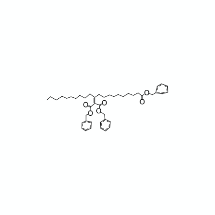 CCCCCCCCCCC(CCCCCCCCCC(=O)OCc1ccccc1)=C(C(=O)OCc1ccccc1)C(=O)OCc1ccccc1